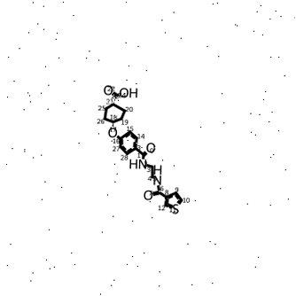 O=C(NCCNC(=O)c1ccsc1)c1ccc(O[C@H]2CC[C@@H](C(=O)O)CC2)cc1